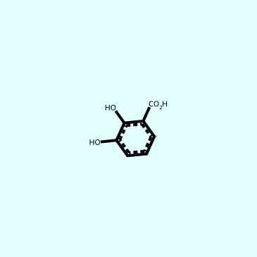 O=C(O)c1[c]ccc(O)c1O